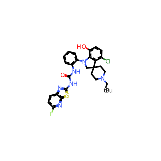 CC(C)(C)CN1CCC2(CC1)CN(c1ccccc1NC(=O)Nc1nc3ccc(F)nc3s1)c1c(O)ccc(Cl)c12